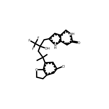 CC(C)(CC(O)(Cc1cc2c[nH]c(=O)cc2[nH]1)C(F)(F)F)c1cc(Cl)cc2c1OCC2